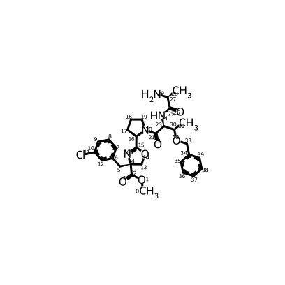 COC(=O)[C@@]1(Cc2cccc(Cl)c2)COC(C2CCCN2C(=O)[C@@H](NC(=O)[C@H](C)N)C(C)OCc2ccccc2)=N1